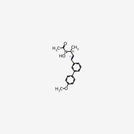 COc1ccc(-c2cccc(/C=C/[C@H](C)N(O)C(C)=O)c2)cc1